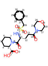 O=C(O)[C@@H]1CCCCN1C(=O)[C@@H](CCC(=O)N1CCOCC1)NS(=O)(=O)Cc1ccccc1